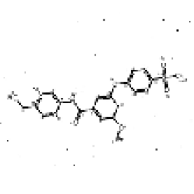 CC(C)OC1C=C(C(=O)Nc2cnc(CO)cn2)C=C(Oc2ccc(S(C)(=O)=O)cc2)C1